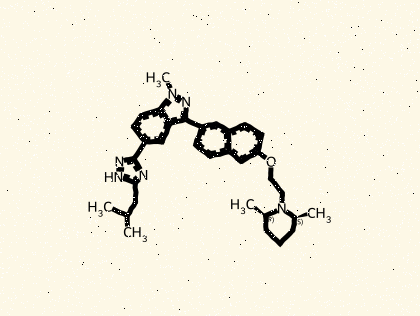 CC(C)Cc1nc(-c2ccc3c(c2)c(-c2ccc4cc(OCCN5[C@H](C)CCC[C@@H]5C)ccc4c2)nn3C)n[nH]1